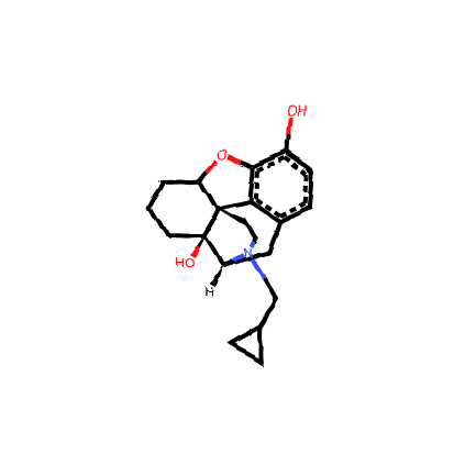 Oc1ccc2c3c1OC1[CH]CC[C@@]4(O)[C@@H](C2)N(CC2CC2)CC[C@]314